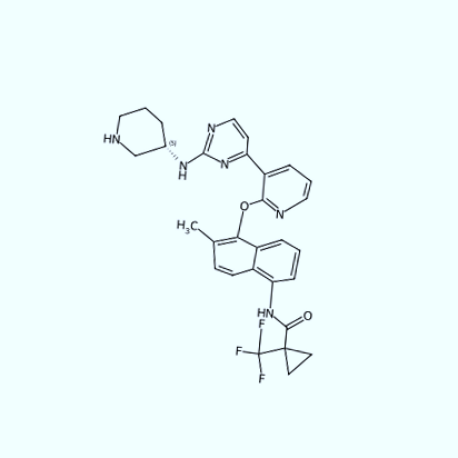 Cc1ccc2c(NC(=O)C3(C(F)(F)F)CC3)cccc2c1Oc1ncccc1-c1ccnc(N[C@H]2CCCNC2)n1